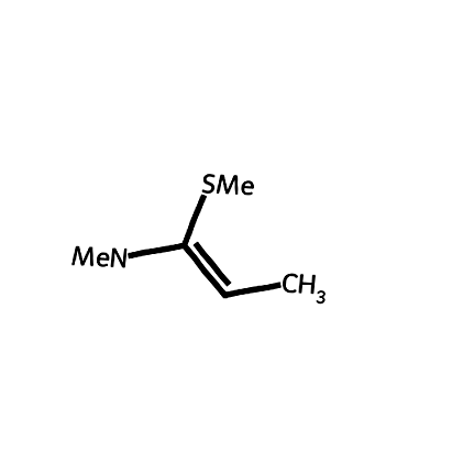 C/C=C(/NC)SC